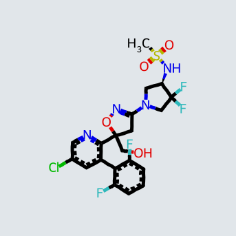 CS(=O)(=O)N[C@@H]1CN(C2=NOC(CO)(c3ncc(Cl)cc3-c3c(F)cccc3F)C2)CC1(F)F